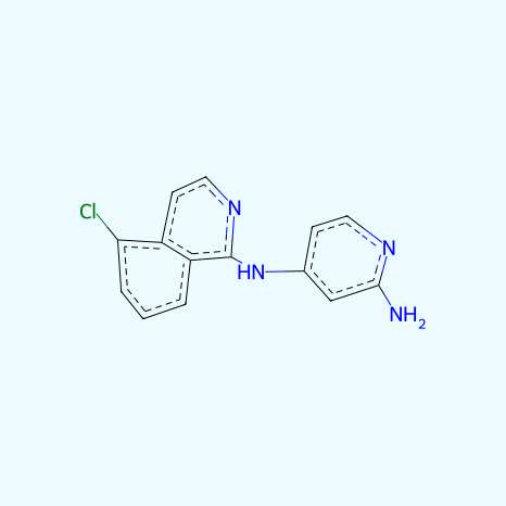 Nc1cc(Nc2nccc3c(Cl)cccc23)ccn1